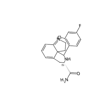 NC(=O)[C@@H]1CC2=CC=CC3=NCCC23C(c2ccc(F)cc2Cl)N1